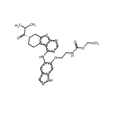 CCOC(=O)NCCOc1cc2[nH]ncc2cc1Nc1ncnc2sc3c(c12)CC[C@H](C(=O)N(C)C)C3